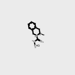 C[C@@H]1Cc2ccccc2CN1C(=O)OC=O